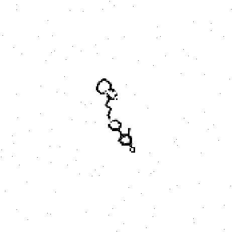 Cc1cc(Cl)ccc1C1CCN(CCCc2nnc3n2CCCCC3)CC1